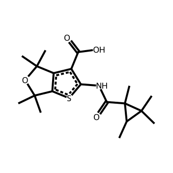 CC1C(C)(C)C1(C)C(=O)Nc1sc2c(c1C(=O)O)C(C)(C)OC2(C)C